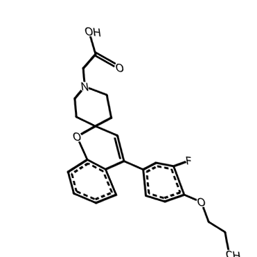 CCCOc1ccc(C2=CC3(CCN(CC(=O)O)CC3)Oc3ccccc32)cc1F